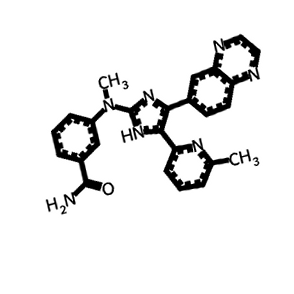 Cc1cccc(-c2[nH]c(N(C)c3cccc(C(N)=O)c3)nc2-c2ccc3nccnc3c2)n1